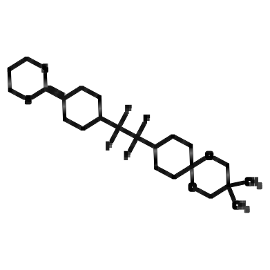 CC1(C)COC2(CCC(C(F)(F)C(F)(F)C3CCC(=C4SCCCS4)CC3)CC2)OC1